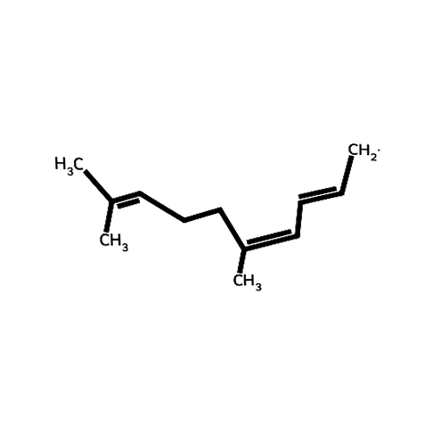 [CH2]C=CC=C(C)CCC=C(C)C